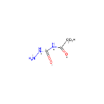 NNC(=O)NC(=O)C(=O)O